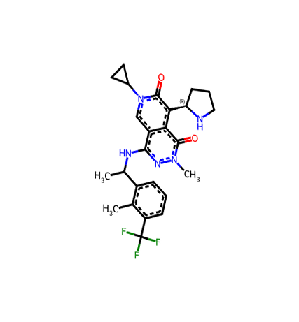 Cc1c(C(C)Nc2nn(C)c(=O)c3c([C@H]4CCCN4)c(=O)n(C4CC4)cc23)cccc1C(F)(F)F